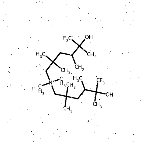 CC(CC(C)(C)C[N+](C)(C)CC(C)(C)CC(C)C(C)(O)C(F)(F)F)C(C)(O)C(F)(F)F.[I-]